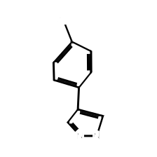 Clc1ccc(C2=C[N]N=C2)cc1